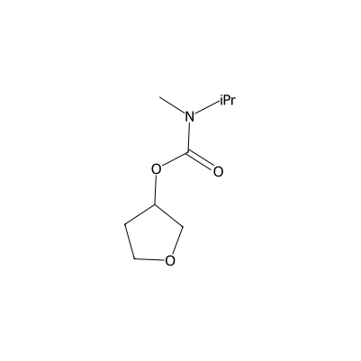 CC(C)N(C)C(=O)OC1CCOC1